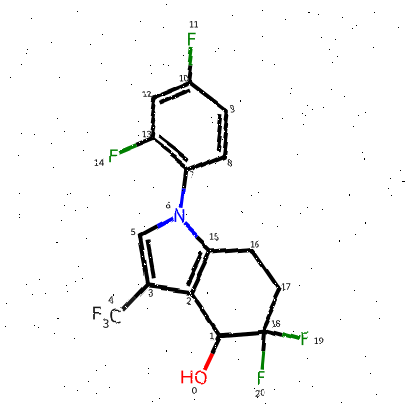 OC1c2c(C(F)(F)F)cn(-c3ccc(F)cc3F)c2CCC1(F)F